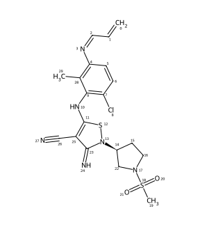 C=C/C=N\c1ccc(Cl)c(Nc2sn([C@H]3CCN(S(C)(=O)=O)C3)c(=N)c2C#N)c1C